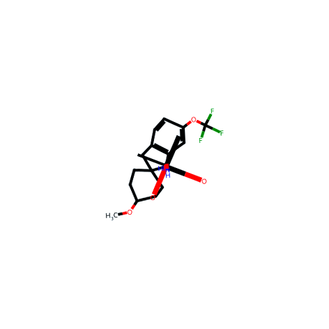 COC1CCC2(CC1)Cc1ccc(OC(F)(F)F)cc1C21NC(=O)NC1=O